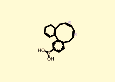 OB(O)c1ccc2c(c1)C1=C(C/C=C\C=C/C2)CCC=C1